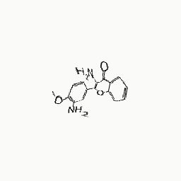 COc1ccc(-c2oc3ccccc3c(=O)c2N)cc1N